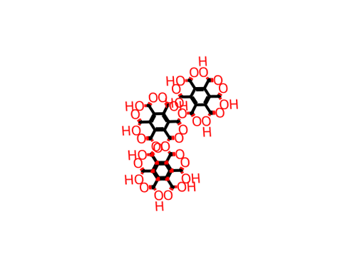 O=C(O)c1c(C(=O)O)c(C(=O)O)c(C(=O)OC(=O)c2c(C(=O)O)c(C(=O)O)c(C(=O)O)c(C(=O)OCc3ccccc3)c2C(=O)OC(=O)c2c(C(=O)O)c(C(=O)O)c(C(=O)O)c(C(=O)O)c2C(=O)O)c(C(=O)O)c1C(=O)O